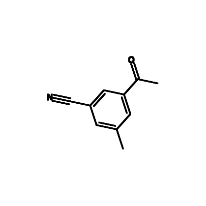 CC(=O)c1cc(C)cc(C#N)c1